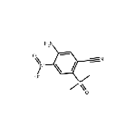 CP(C)(=O)c1cc([N+](=O)[O-])c(N)cc1C#N